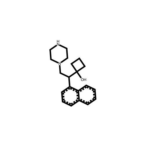 OC1(C(CN2CCNCC2)c2cccc3ccccc23)CCC1